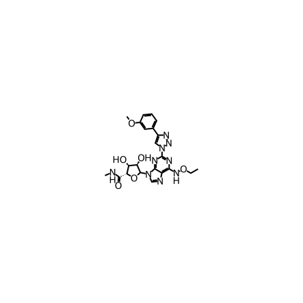 CCONc1nc(-n2cc(-c3cccc(OC)c3)nn2)nc2c1ncn2C1O[C@H](C(=O)NC)[C@@H](O)[C@H]1O